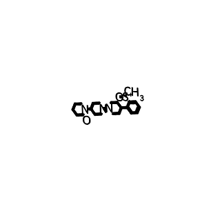 C[S+]([O-])c1ccccc1C1CCN(N2CCC(N3CCCCC3=O)CC2)CC1